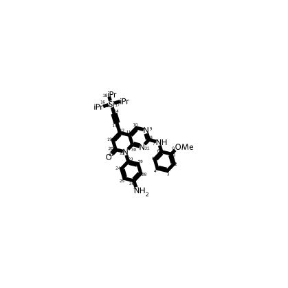 COc1ccccc1Nc1ncc2c(C#C[Si](C(C)C)(C(C)C)C(C)C)cc(=O)n(-c3ccc(N)cc3)c2n1